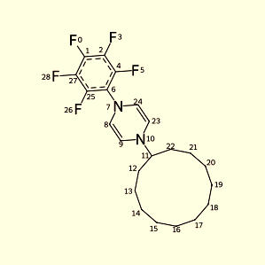 Fc1c(F)c(F)c(N2C=CN(C3CCCCCCCCCCC3)C=C2)c(F)c1F